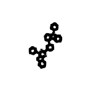 c1ccc(-c2nc(-c3cccc(-c4cccc5c4c4ccccc4n5-c4ccccc4)c3)nc3c2oc2ccccc23)cc1